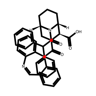 O=C(O)[C@@H]1[C@H]2CCC[C@@H](CN1C(=O)N1c3ccccc3C=Nc3ccccc31)N2C(=O)C(c1ccccc1)c1ccccc1